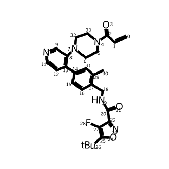 C=CC(=O)N1CCN(c2cnccc2-c2ccc(CNC(=O)c3noc(C(C)(C)C)c3F)c(C)c2)CC1